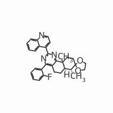 C[C@@H]1[C@H]2CCc3c(-c4ccccc4F)nc(-c4ccnc5ccccc45)nc3[C@]2(C)CCC12OCCO2